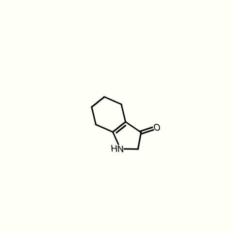 O=C1CNC2=C1CCCC2